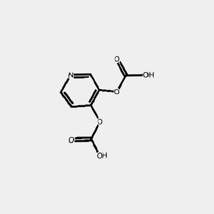 O=C(O)Oc1ccncc1OC(=O)O